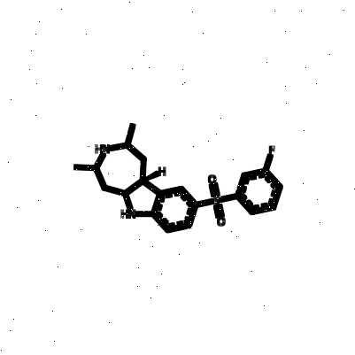 CC1CC2Nc3ccc(S(=O)(=O)c4cccc(F)c4)cc3[C@H]2CC(C)N1